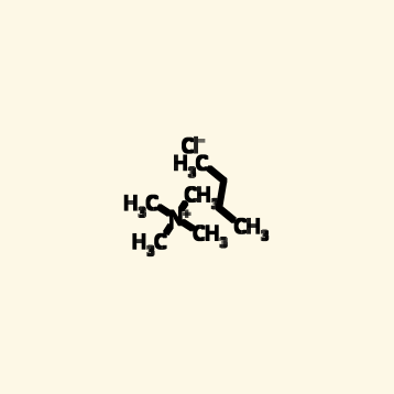 CCCC.C[N+](C)(C)C.[Cl-]